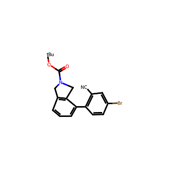 CC(C)(C)OC(=O)N1Cc2cccc(-c3ccc(Br)cc3C#N)c2C1